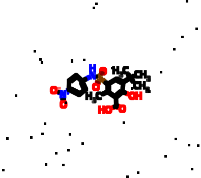 Cc1c(S(=O)(=O)Nc2ccc([N+](=O)[O-])cc2)cc(C(C)(C)C)c(O)c1C(=O)O